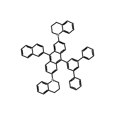 c1ccc(-c2cc(-c3ccccc3)cc(-c3c4ccc(N5CCCc6ccccc65)cc4c(-c4ccc5ccccc5c4)c4ccc(N5CCCc6ccccc65)cc34)c2)cc1